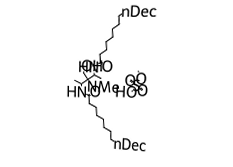 CCCCCCCCCCCCCCCCCC(=O)NC(C)C(CO)(NC)C(C)NC(=O)CCCCCCCCCCCCCCCCC.COS(=O)(=O)O